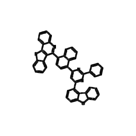 c1ccc(-c2nc(-c3ccc(-c4nc5ccccc5c5sc6ccccc6c45)c4ccccc34)cc(-c3cccc4oc5ccccc5c34)n2)cc1